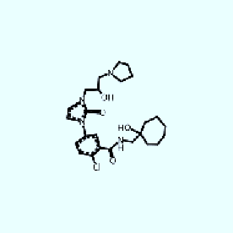 O=C(NCC1(O)CCCCCC1)c1cc(-n2ccn(CC(O)CN3CCCC3)c2=O)ccc1Cl